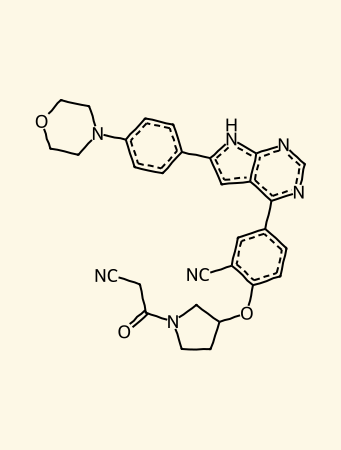 N#CCC(=O)N1CCC(Oc2ccc(-c3ncnc4[nH]c(-c5ccc(N6CCOCC6)cc5)cc34)cc2C#N)C1